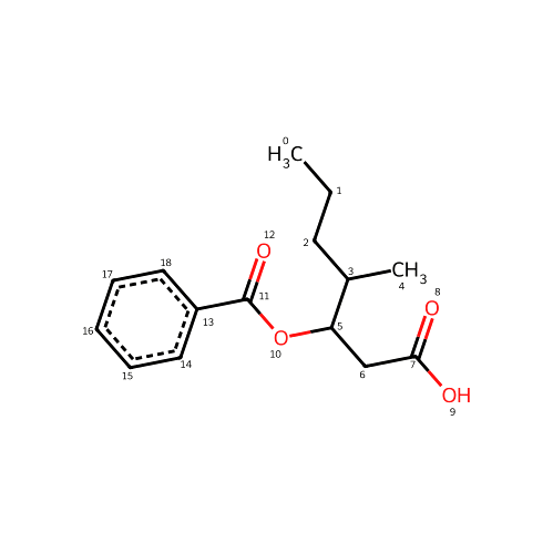 CCCC(C)C(CC(=O)O)OC(=O)c1ccccc1